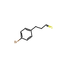 S=[C]CCc1ccc(Br)cc1